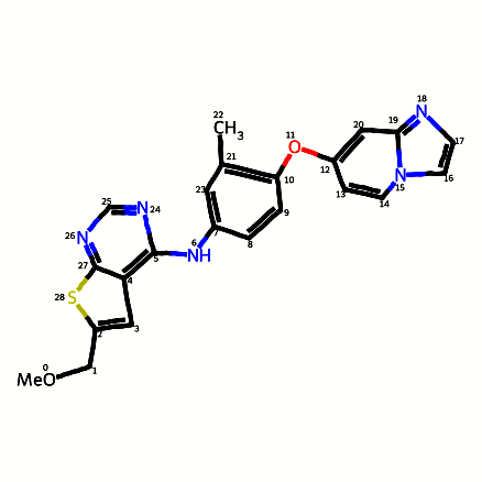 COCc1cc2c(Nc3ccc(Oc4ccn5ccnc5c4)c(C)c3)ncnc2s1